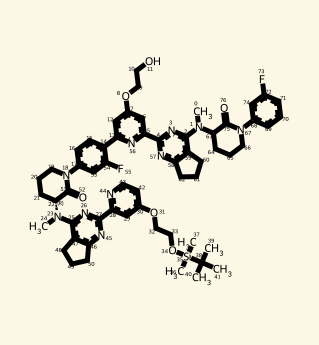 CN(c1nc(-c2cc(OCCO)cc(-c3ccc(N4CCC[C@@H](N(C)c5nc(-c6cc(OCCO[Si](C)(C)C(C)(C)C)ccn6)nc6c5CCC6)C4=O)cc3F)n2)nc2c1CCC2)C1CCCN(c2cccc(F)c2)C1=O